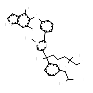 CCOC(=O)C(C)Cc1cccc(C(C)(CCCC(C)(C)CO)c2cn(C)c(-c3cccc(Oc4c(F)cc5[nH]ccc5c4Br)c3)n2)c1